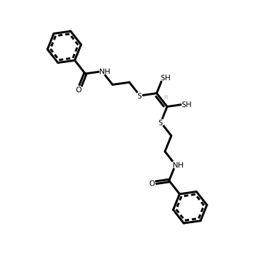 O=C(NCCS/C(S)=C(/S)SCCNC(=O)c1ccccc1)c1ccccc1